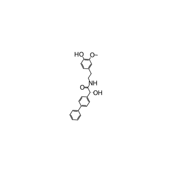 COc1cc(CCNC(=O)[C@H](O)c2ccc(-c3ccccc3)cc2)ccc1O